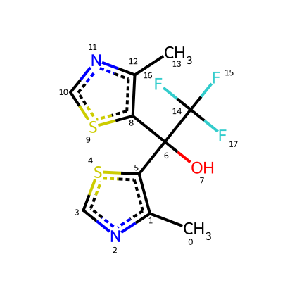 Cc1ncsc1C(O)(c1scnc1C)C(F)(F)F